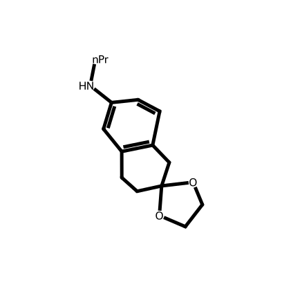 CCCNc1ccc2c(c1)CCC1(C2)OCCO1